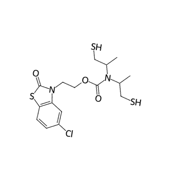 CC(CS)N(C(=O)OCCn1c(=O)sc2ccc(Cl)cc21)C(C)CS